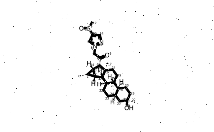 C[C@H]1[C@@H]2[C@H]1[C@H](C(=O)Cn1cc([S+](C)[O-])cn1)[C@@]1(C)CC[C@H]3[C@@H](CC[C@@H]4C[C@](C)(O)CC[C@@H]43)[C@H]21